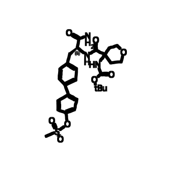 CC(C)(C)OC(=O)NC1(C(=O)N[C@@H](Cc2ccc(-c3ccc(OS(C)(=O)=O)cc3)cc2)C(N)=O)CCOCC1